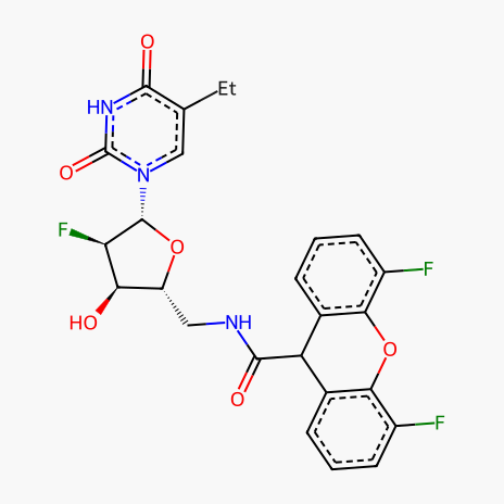 CCc1cn([C@@H]2O[C@H](CNC(=O)C3c4cccc(F)c4Oc4c(F)cccc43)[C@@H](O)[C@H]2F)c(=O)[nH]c1=O